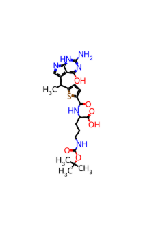 CC(c1ccc(C(=O)NC(CCCNC(=O)OC(C)(C)C)C(=O)O)s1)c1cnc2[nH]c(N)nc(O)c1-2